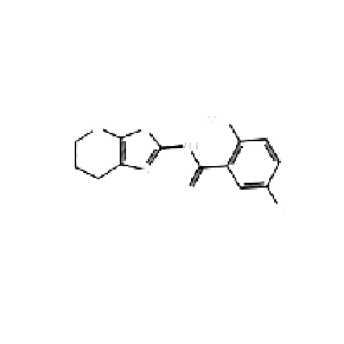 COc1ccc(Cl)cc1C(=O)Nc1nc2c(s1)OCCC2